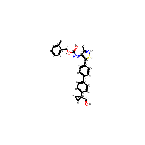 Cc1ccccc1COC(=O)Nc1c(C)nsc1-c1ccc(-c2ccc(C3(C=O)CC3)cc2)cc1